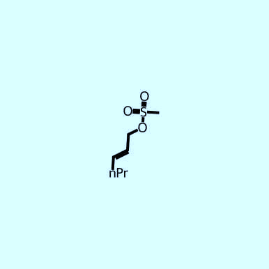 CCCC=CCOS(C)(=O)=O